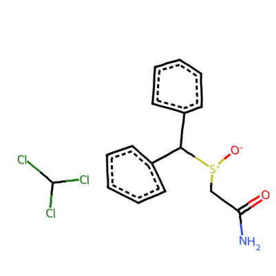 ClC(Cl)Cl.NC(=O)C[S+]([O-])C(c1ccccc1)c1ccccc1